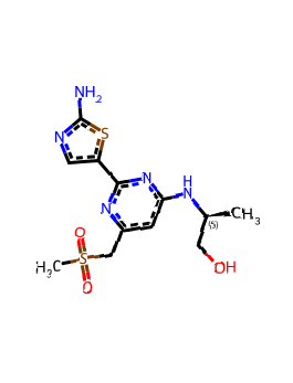 C[C@@H](CO)Nc1cc(CS(C)(=O)=O)nc(-c2cnc(N)s2)n1